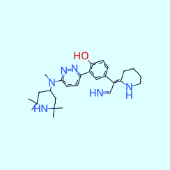 CN(c1ccc(-c2cc(/C(C=N)=C3\CCCCN3)ccc2O)nn1)C1CC(C)(C)NC(C)(C)C1